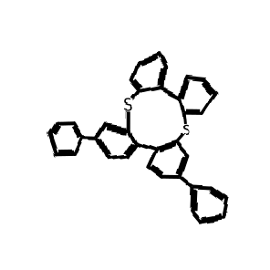 c1ccc(-c2ccc3c(c2)Sc2ccccc2-c2ccccc2Sc2cc(-c4ccccc4)ccc2-3)cc1